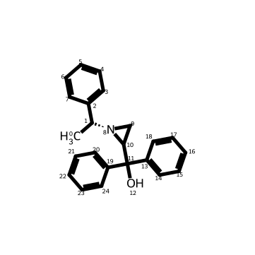 CC(c1ccccc1)[N@]1CC1C(O)(c1ccccc1)c1ccccc1